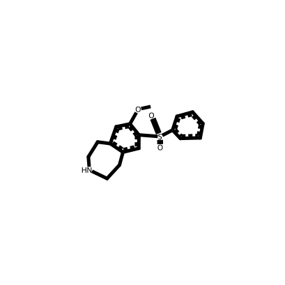 COc1cc2c(cc1S(=O)(=O)c1ccccc1)CCNCC2